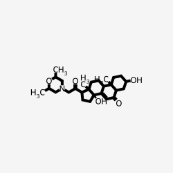 CC1CN(CC(=O)C2CC[C@@]3(O)C4=CC(=O)C5CC(O)CCC5(C)C4CCC23C)CC(C)O1